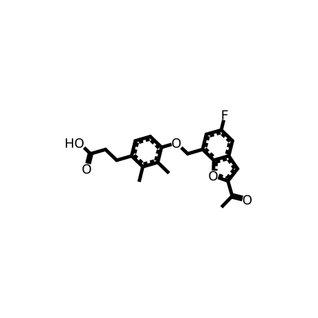 CC(=O)c1cc2cc(F)cc(COc3ccc(CCC(=O)O)c(C)c3C)c2o1